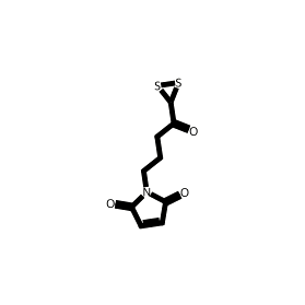 O=C(CCCN1C(=O)C=CC1=O)C1SS1